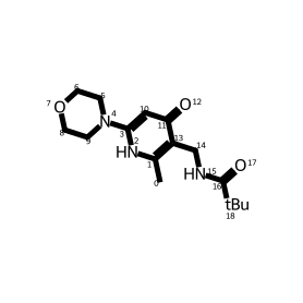 Cc1[nH]c(N2CCOCC2)cc(=O)c1CNC(=O)C(C)(C)C